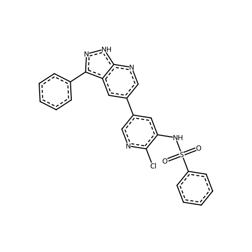 O=S(=O)(Nc1cc(-c2cnc3[nH]nc(-c4ccccc4)c3c2)cnc1Cl)c1ccccc1